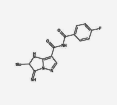 CC(C)(C)C1Nc2c(C(=O)NC(=O)c3ccc(F)cc3)cnn2C1=N